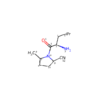 CC(C)C[C@@H](N)C(=O)N1C(C)CCC1C#N